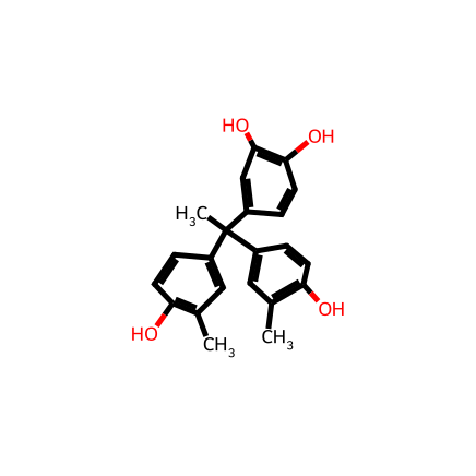 Cc1cc(C(C)(c2ccc(O)c(C)c2)c2ccc(O)c(O)c2)ccc1O